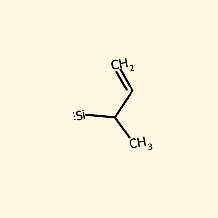 C=CC(C)[Si]